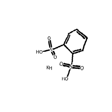 O=S(=O)(O)c1ccccc1S(=O)(=O)O.[KH]